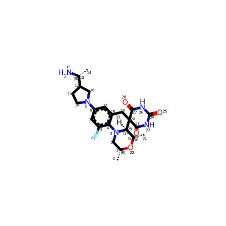 C[C@@H]1CN2c3c(F)cc(N4CCC([C@@H](C)N)C4)cc3CC3(C(=O)NC(=O)NC3=O)[C@H]2[C@H](C)O1